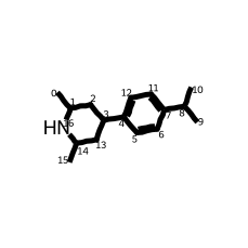 CC1CC(c2ccc(C(C)C)cc2)CC(C)N1